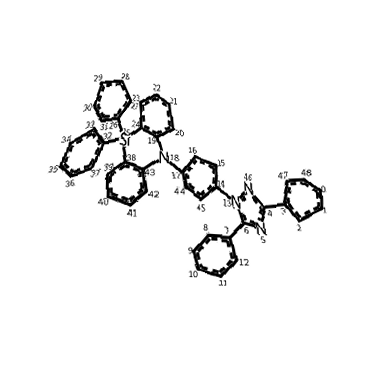 c1ccc(-c2nc(-c3ccccc3)n(-c3ccc(N4c5ccccc5[Si](c5ccccc5)(c5ccccc5)c5ccccc54)cc3)n2)cc1